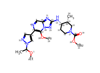 CCOC(C)n1cc(-c2ncc3nc(N[C@H]4CCN(C(=O)OC(C)(C)C)C[C@H]4C)nn3c2OC(C)C)cn1